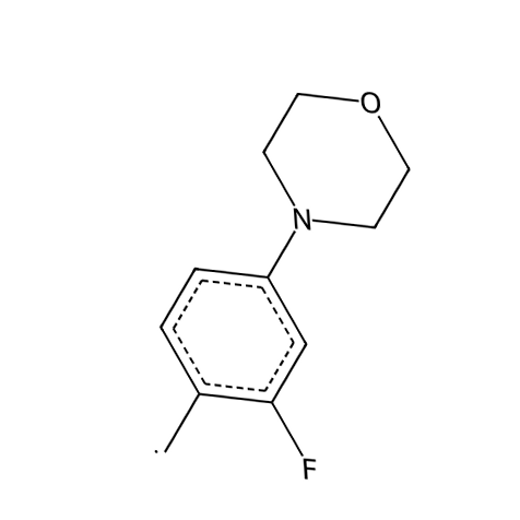 [CH2]c1ccc(N2CCOCC2)cc1F